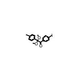 COC(OC)(C(=O)c1ccc(I)cc1)c1ccc(C)cc1